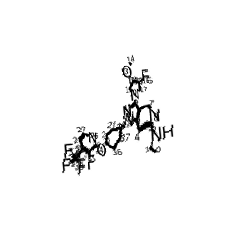 CCNc1cc2c(cn1)c(N1C[C@H](OC)[C@@H](F)C1)nn2C1CCC(Oc2nccc(C(F)(F)F)c2F)CC1